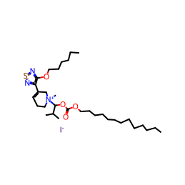 CCCCCCCCCCCCCOC(=O)OC(C(C)C)[N+]1(C)CCC=C(c2nsnc2OCCCCCC)C1.[I-]